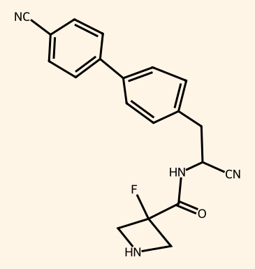 N#Cc1ccc(-c2ccc(CC(C#N)NC(=O)C3(F)CNC3)cc2)cc1